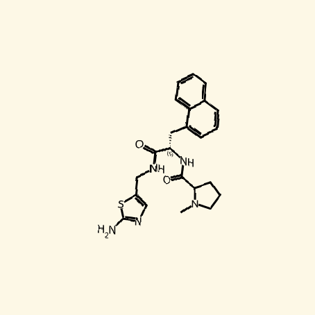 CN1CCCC1C(=O)N[C@@H](Cc1cccc2ccccc12)C(=O)NCc1cnc(N)s1